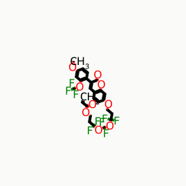 C=CC(=O)OCCC(F)(F)OC(F)(F)OC(F)(F)CCOc1ccc2cc(-c3ccc(OC)cc3OC(F)(F)F)c(=O)oc2c1